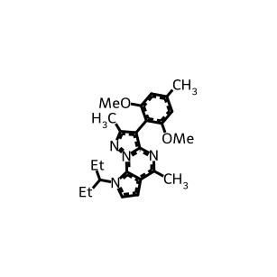 CCC(CC)n1ccc2c(C)nc3c(-c4c(OC)cc(C)cc4OC)c(C)nn3c21